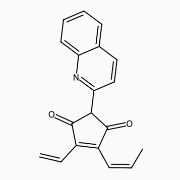 C=CC1=C(/C=C\C)C(=O)C(c2ccc3ccccc3n2)C1=O